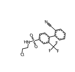 N#Cc1ccccc1-c1ccc(S(=O)(=O)NCCCl)cc1C(F)(F)F